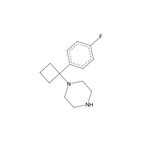 Fc1ccc(C2(N3CCNCC3)CCC2)cc1